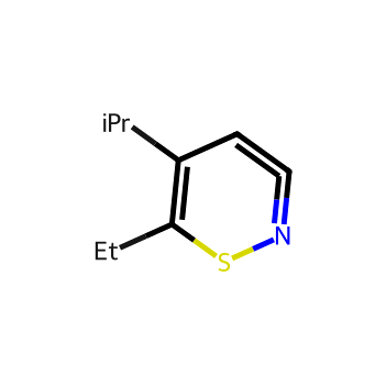 CCC1=C(C(C)C)C=C=NS1